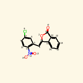 O=C1OC(=Cc2cc(Cl)ccc2[N+](=O)[O-])c2ccccc21